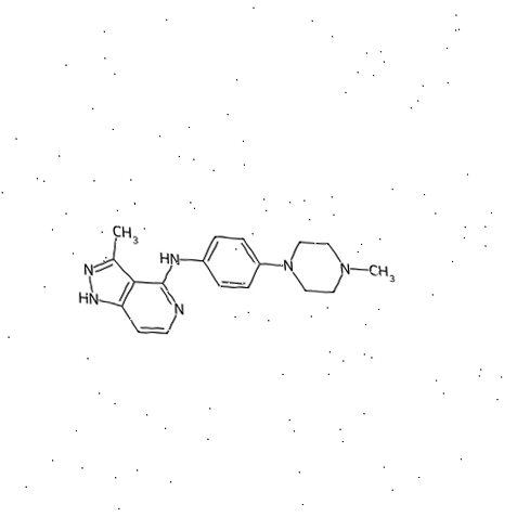 Cc1n[nH]c2ccnc(Nc3ccc(N4CCN(C)CC4)cc3)c12